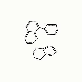 c1ccc(-c2cccc3ccccc23)cc1.c1ccc2c(c1)CCCC2